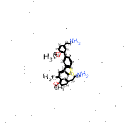 C=C(/C=C1\CSc2ccc(-c3cc(CCN)ccc3OC)cc21)c1cc(CCN)ccc1OC